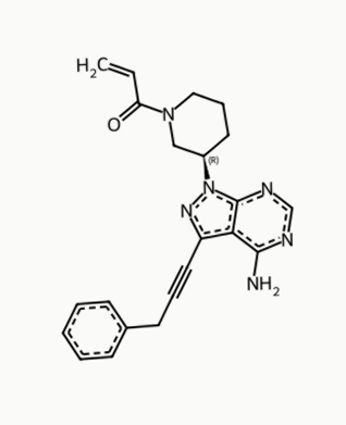 C=CC(=O)N1CCC[C@@H](n2nc(C#CCc3ccccc3)c3c(N)ncnc32)C1